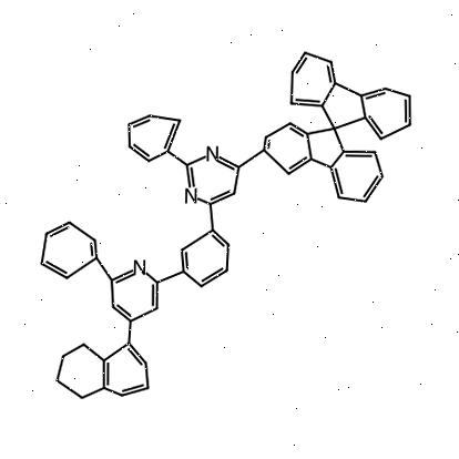 c1ccc(-c2cc(-c3cccc4c3CCCC4)cc(-c3cccc(-c4cc(-c5ccc6c(c5)-c5ccccc5C65c6ccccc6-c6ccccc65)nc(-c5ccccc5)n4)c3)n2)cc1